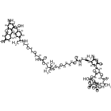 C=C(NCCOCCOCCNC(=O)OCCC(C)(C)SSCOCCCCOC(=O)NCC#Cc1cn([C@H]2CC(OCS(=S)CC)[C@@H](COP(=O)(O)OP(=O)(O)OP(=O)(O)O)O2)c(=O)nc1N)c1ccc(C(=O)O)c(-c2c3ccc(=N)cc-3oc3cc(N)ccc23)c1